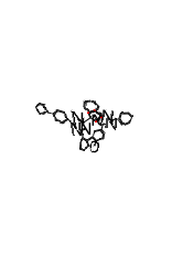 c1ccc(-c2ccc(-c3nc(-c4ccccc4)nc(-c4cccc5oc6ccc(-c7nc(-c8ccccc8)nc(-c8ccccc8)n7)cc6c45)n3)cc2)cc1